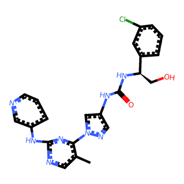 Cc1cnc(Nc2cccnc2)nc1-n1cc(NC(=O)N[C@H](CO)c2cccc(Cl)c2)cn1